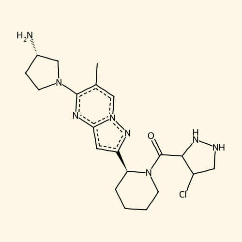 Cc1cn2nc([C@@H]3CCCCN3C(=O)C3NNCC3Cl)cc2nc1N1CC[C@H](N)C1